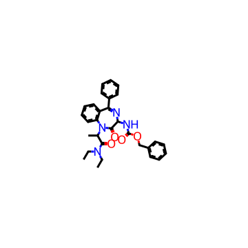 CCN(CC)C(=O)C(C)N1C(=O)C(NC(=O)OCc2ccccc2)N=C(c2ccccc2)c2ccccc21